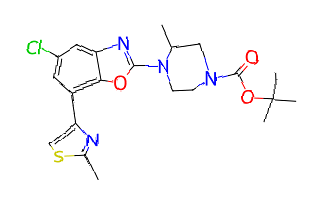 Cc1nc(-c2cc(Cl)cc3nc(N4CCN(C(=O)OC(C)(C)C)CC4C)oc23)cs1